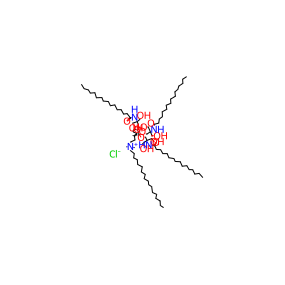 CCCCCCCCCCCCCCCCCC[N+](C)(C)CCC[Si](OCC(CO)(CO)NC(=O)CCCCCCCCCCCCCCC)(OCC(CO)(CO)NC(=O)CCCCCCCCCCCCCCC)OCC(CO)(CO)NC(=O)CCCCCCCCCCCCCCC.[Cl-]